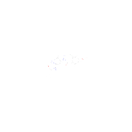 O=C(Nc1ccnc(NC(=O)C2CC2)c1)c1ccc(O)cc1F